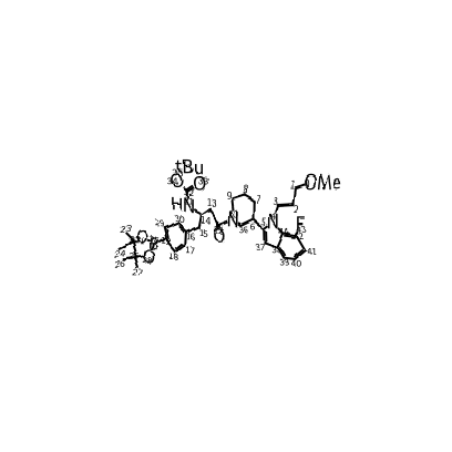 COCCCn1c(C2CCCN(C(=O)C[C@@H](Cc3ccc(B4OC(C)(C)C(C)(C)O4)cc3)NC(=O)OC(C)(C)C)C2)cc2cccc(F)c21